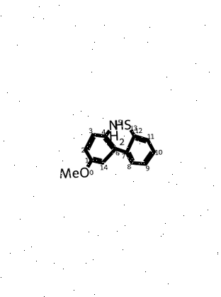 COc1ccc(N)c(-c2ccccc2S)c1